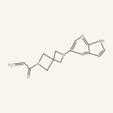 C=CC(=O)N1CC2(C1)CN(c1cnc3[nH]ccc3n1)C2